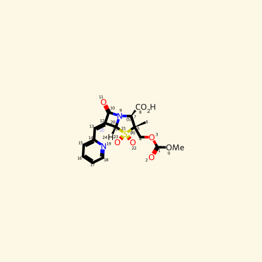 COC(=O)OC[C@@]1(C)[C@H](C(=O)O)N2C(=O)/C(=C/c3ccccn3)[C@H]2S1(=O)=O